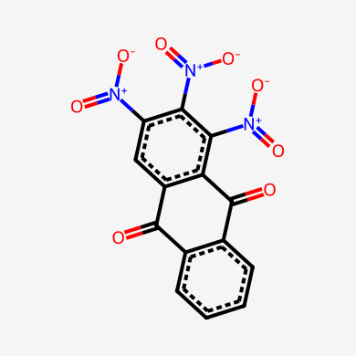 O=C1c2ccccc2C(=O)c2c1cc([N+](=O)[O-])c([N+](=O)[O-])c2[N+](=O)[O-]